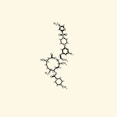 C/C(=C\c1cc(F)cc(N2CCN(S(=O)(=O)c3cn(C)cn3)CC2)c1)[C@H]1OC(=O)C[C@H](O)CC[C@H](C)C(OC(=O)N2CCN(C)CC2)/C=C/[C@@H]1C